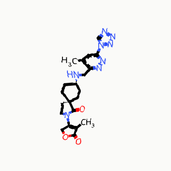 CC1=C(N2CC[C@]3(CC[C@@H](NCc4nnc(-n5cnnn5)cc4C)CC3)C2=O)COC1=O